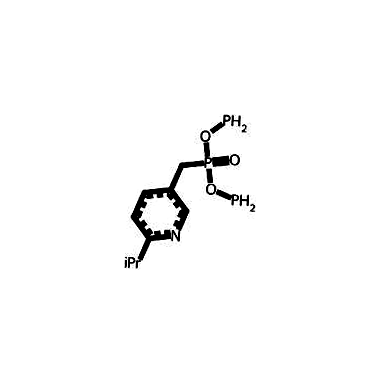 CC(C)c1ccc(CP(=O)(OP)OP)cn1